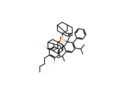 CCCCc1c(F)c(F)c(C2(OC)C(C(C)C)=CC(C(C)C)=C(c3ccccc3)C2(C(C)C)P(C23CC4CC(CC(C4)C2)C3)C23CC4CC(CC(C4)C2)C3)c(F)c1F